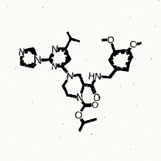 COc1ccc(CNC(=O)C2CN(c3cc(C(C)C)nc(-n4ccnc4)n3)CCN2C(=O)OC(C)C)cc1OC